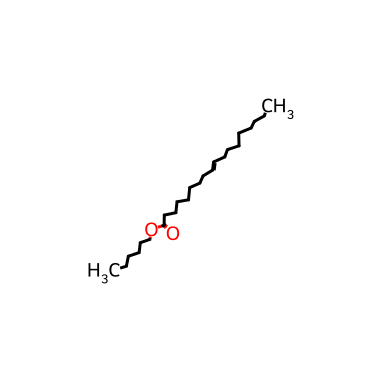 CCCCCCCCC=CCCCCCCCC(=O)OCCCCCC